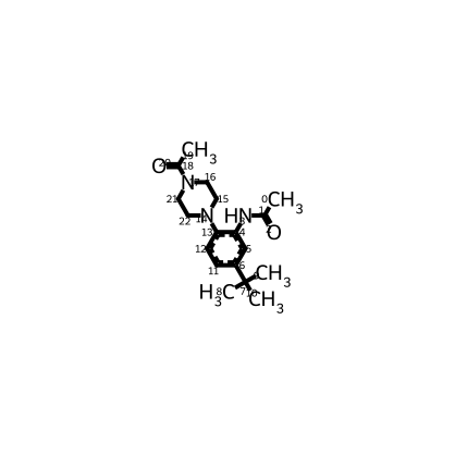 CC(=O)Nc1cc(C(C)(C)C)ccc1N1CCN(C(C)=O)CC1